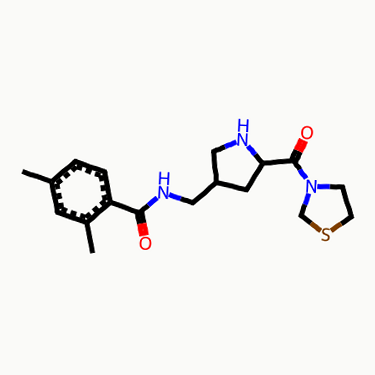 Cc1ccc(C(=O)NCC2CNC(C(=O)N3CCSC3)C2)c(C)c1